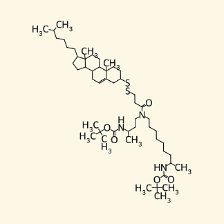 CC(C)CCCCC1CCC2C3CC=C4CC(SSCCC(=O)N(CCCCCCCC(C)NC(=O)OC(C)(C)C)CCC(C)NC(=O)OC(C)(C)C)CCC4(C)C3CCC12C